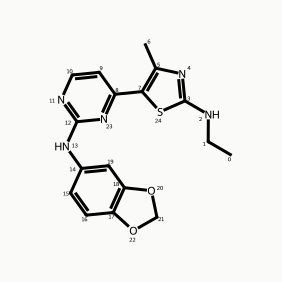 CCNc1nc(C)c(-c2ccnc(Nc3ccc4c(c3)OCO4)n2)s1